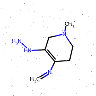 C=NC1=C(NN)CN(C)CC1